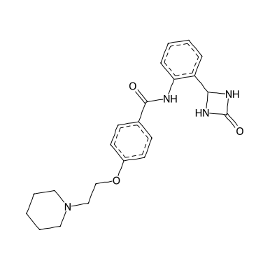 O=C1NC(c2ccccc2NC(=O)c2ccc(OCCN3CCCCC3)cc2)N1